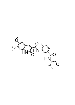 COc1cc2cc(C(=O)Nc3cc(C(=O)NC(CO)C(C)C)ccc3C)c(=O)[nH]c2cc1OC